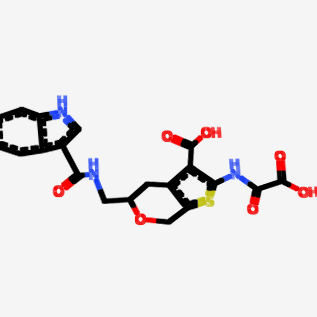 O=C(O)C(=O)Nc1sc2c(c1C(=O)O)CC(CNC(=O)c1c[nH]c3ccccc13)OC2